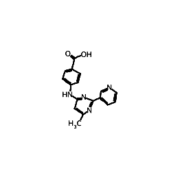 Cc1cc(Nc2ccc(C(=O)O)cc2)nc(-c2cccnc2)n1